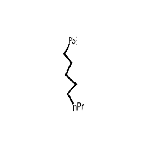 CCCCCCC[CH2][Pb]